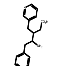 NC(Cc1ccccc1)C(CC(=O)O)Cc1cccnc1